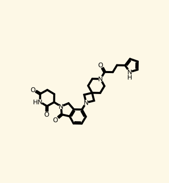 O=C1CCC(N2Cc3c(cccc3N3CC4(CCN(C(=O)CCc5ccc[nH]5)CC4)C3)C2=O)C(=O)N1